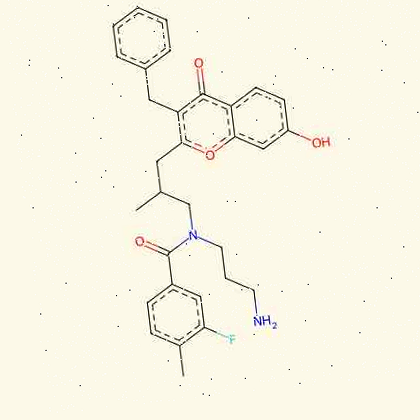 Cc1ccc(C(=O)N(CCCN)CC(C)Cc2oc3cc(O)ccc3c(=O)c2Cc2ccccc2)cc1F